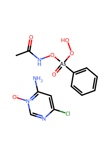 CC(=O)NO[As](=O)(OO)c1ccccc1.Nc1cc(Cl)nc[n+]1[O-]